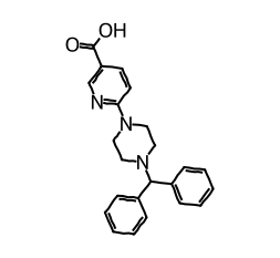 O=C(O)c1ccc(N2CCN(C(c3ccccc3)c3ccccc3)CC2)nc1